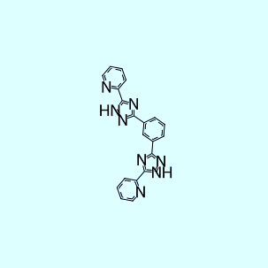 c1ccc(-c2nc(-c3cccc(-c4n[nH]c(-c5ccccn5)n4)c3)n[nH]2)nc1